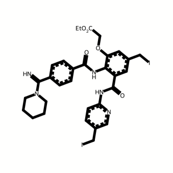 CCOC(=O)COc1cc(CI)cc(C(=O)Nc2ccc(CI)cn2)c1NC(=O)c1ccc(C(=N)N2CCCCC2)cc1